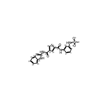 CS(=O)(=O)Nc1cccc(NC(=O)c2cc(C(=O)Nc3nc4ccccc4[nH]3)cs2)c1